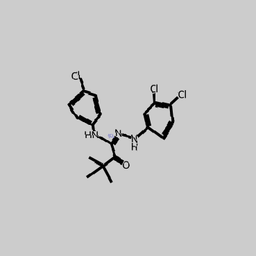 CC(C)(C)C(=O)/C(=N\Nc1ccc(Cl)c(Cl)c1)Nc1ccc(Cl)cc1